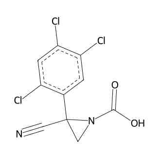 N#CC1(c2cc(Cl)c(Cl)cc2Cl)CN1C(=O)O